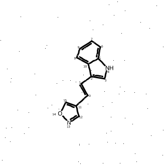 C(=Cc1c[nH]c2ccccc12)c1cnoc1